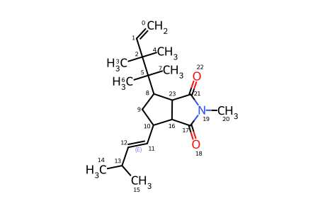 C=CC(C)(C)C(C)(C)C1CC(/C=C/C(C)C)C2C(=O)N(C)C(=O)C21